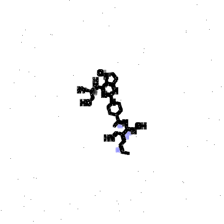 C\C=C/C=C(C=N)/C(=N/O)/N=C(\C)C1CCN(c2nc3c(c(N[C@@H](CO)C(C)C)n2)[S+]([O-])CC3)CC1